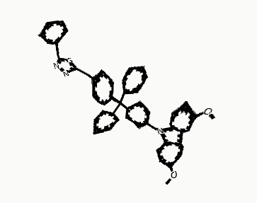 COc1ccc2c(c1)c1cc(OC)ccc1n2-c1ccc(C(c2ccccc2)(c2ccccc2)c2ccc(-c3nnc(-c4ccccc4)s3)cc2)cc1